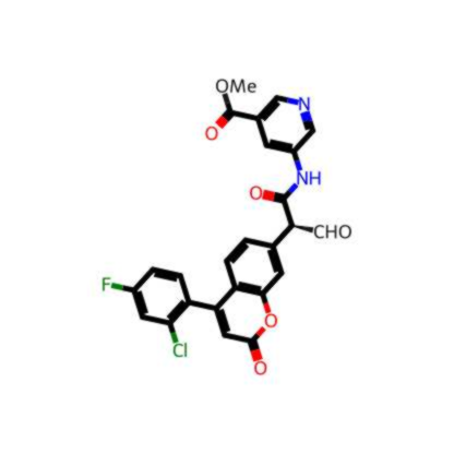 COC(=O)c1cncc(NC(=O)[C@@H](C=O)c2ccc3c(-c4ccc(F)cc4Cl)cc(=O)oc3c2)c1